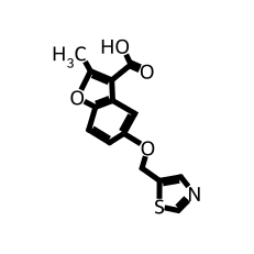 Cc1oc2ccc(OCc3cncs3)cc2c1C(=O)O